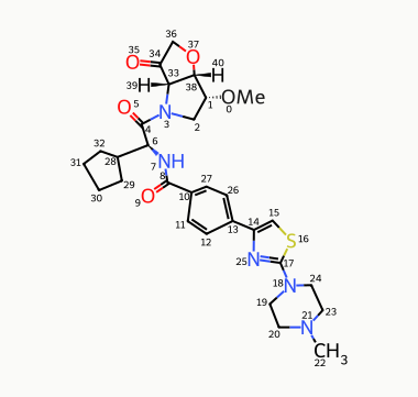 CO[C@@H]1CN(C(=O)[C@@H](NC(=O)c2ccc(-c3csc(N4CCN(C)CC4)n3)cc2)C2CCCC2)[C@@H]2C(=O)CO[C@@H]21